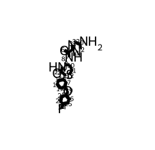 Nc1cnc(C(=O)NC[C@@H]2CCS[C@H](c3cccc(Oc4ccc(F)cc4)c3)C(=O)N2)nc1